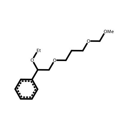 CCOC(COCCCOCOC)c1ccccc1